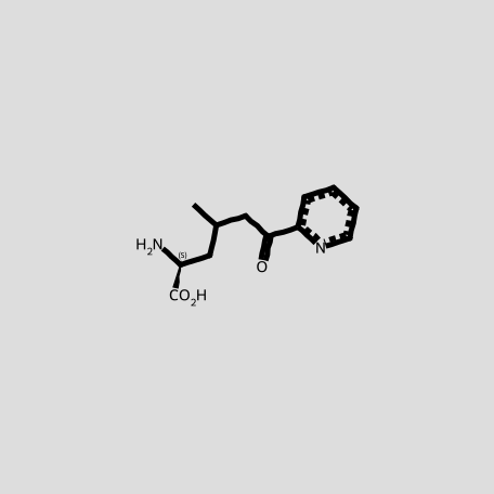 CC(CC(=O)c1ccccn1)C[C@H](N)C(=O)O